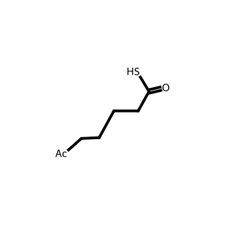 CC(=O)CCCCC(=O)S